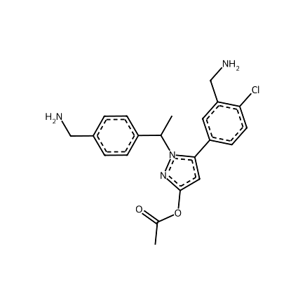 CC(=O)Oc1cc(-c2ccc(Cl)c(CN)c2)n(C(C)c2ccc(CN)cc2)n1